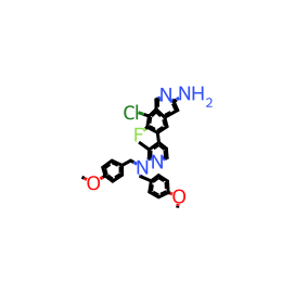 COc1ccc(CN(Cc2ccc(OC)cc2)c2nccc(-c3cc4cc(N)ncc4c(Cl)c3F)c2C)cc1